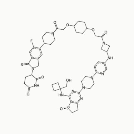 O=C1CCC(N2Cc3cc(C4CCN(C(=O)COC5CCC(OCC(=O)N6CC(Nc7ccc(N8CCN(c9nc%10c(c(NC%11(CO)CCC%11)n9)[S@+]([O-])CC%10)CC8)nc7)C6)CC5)CC4)c(F)cc3C2=S)C(=O)N1